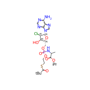 CC(C)OC(=O)C(C)NP(=O)(OCCSC(=O)C(C)(C)C)OC[C@H]1O[C@@H](n2cnc3c(N)ncnc32)[C@H](Cl)[C@@H]1O